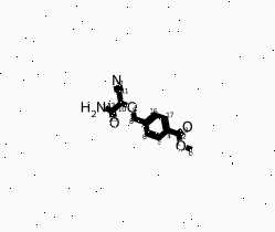 COC(=O)c1ccc(COC(C#N)C(N)=O)cc1